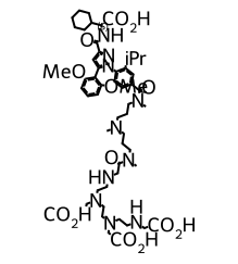 COc1cccc(OC)c1-c1cc(C(=O)N[C@H](C(=O)O)C2CCCCC2)nn1-c1ccc(C(=O)N(C)CCCN(C)CCCN(C)C(=O)CNCCN(CCN(CCNCC(=O)O)CC(=O)O)CC(=O)O)cc1C(C)C